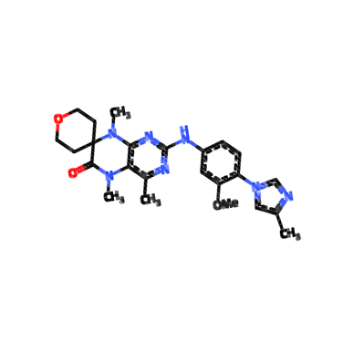 COc1cc(Nc2nc(C)c3c(n2)N(C)C2(CCOCC2)C(=O)N3C)ccc1-n1cnc(C)c1